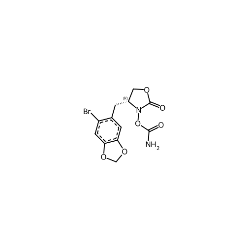 NC(=O)ON1C(=O)OC[C@H]1Cc1cc2c(cc1Br)OCO2